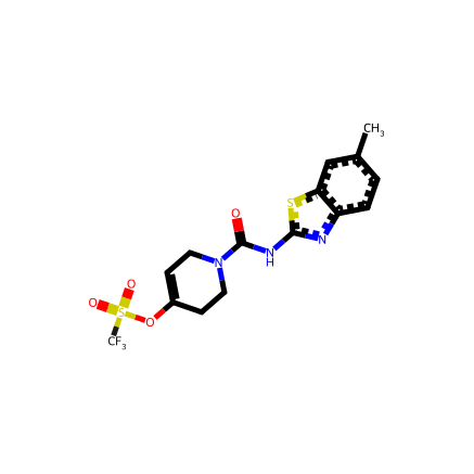 Cc1ccc2nc(NC(=O)N3CC=C(OS(=O)(=O)C(F)(F)F)CC3)sc2c1